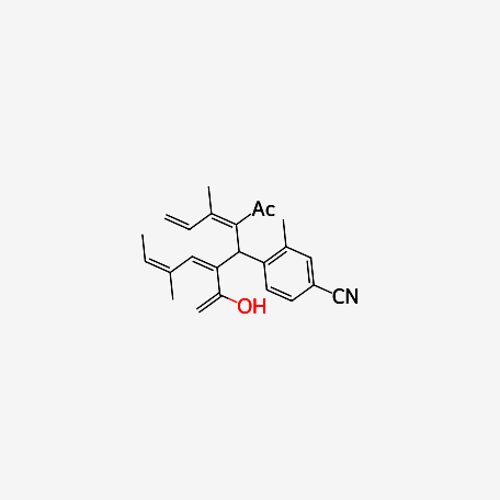 C=C/C(C)=C(/C(C)=O)C(/C(=C/C(C)=C\C)C(=C)O)c1ccc(C#N)cc1C